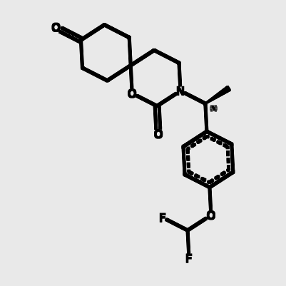 C[C@@H](c1ccc(OC(F)F)cc1)N1CCC2(CCC(=O)CC2)OC1=O